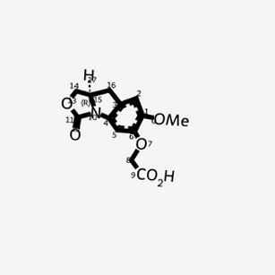 COc1cc2c(cc1OCC(=O)O)N1C(=O)OC[C@H]1C2